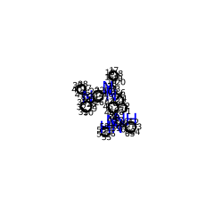 C/C=C\C(CC(C)(C)/C=N/C(=N\C(C)C1=CC=CC[C@@H]1C)C1=CCC2=C(C=C1)C1CCC=CC=C1N2C1=CC=CCC1)C1=CCC=CC(C(/N=C/[C@H]2C=CCCC2)NC(=N)C2=CCCCC=C2)=C1